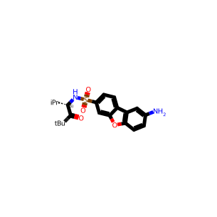 CC(C)[C@H](NS(=O)(=O)c1ccc2c(c1)oc1ccc(N)cc12)C(=O)C(C)(C)C